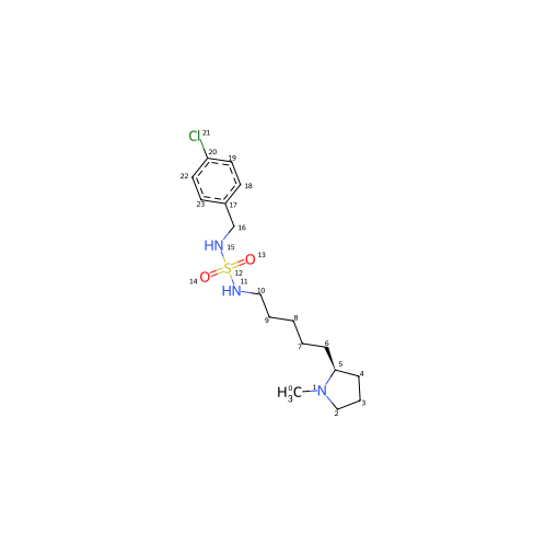 CN1CCC[C@@H]1CCCCCNS(=O)(=O)NCc1ccc(Cl)cc1